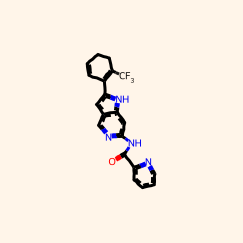 O=C(Nc1cc2[nH]c(C3=C(C(F)(F)F)CCC=C3)cc2cn1)c1ccccn1